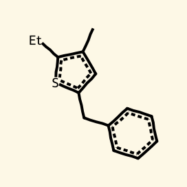 CCc1sc(Cc2ccccc2)cc1C